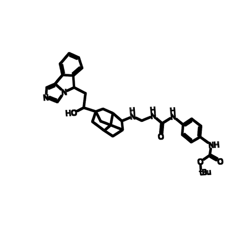 CC(C)(C)OC(=O)Nc1ccc(NC(=O)NCNC2C3CC4CC2CC(C(O)CC2c5ccccc5-c5cncn52)(C4)C3)cc1